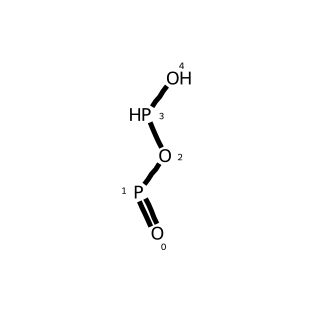 O=POPO